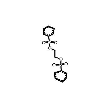 O=S(=O)(OCCOS(=O)(=O)c1ccccc1)c1ccccc1